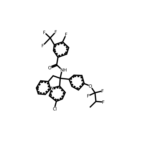 CC(F)C(F)(F)Oc1ccc(C(Cc2ccccc2)(NC(=O)c2ccc(F)c(C(F)(F)F)c2)c2ccc(Cl)cn2)cc1